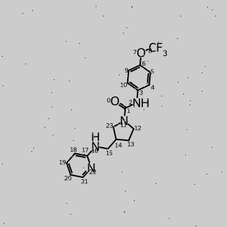 O=C(Nc1ccc(OC(F)(F)F)cc1)N1CCC(CNc2ccccn2)C1